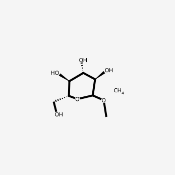 C.COC1O[C@H](CO)[C@@H](O)[C@H](O)[C@H]1O